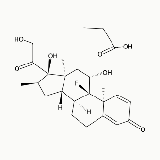 CCC(=O)O.C[C@@H]1C[C@H]2[C@@H]3CCC4=CC(=O)C=C[C@]4(C)[C@@]3(F)[C@@H](O)C[C@]2(C)[C@@]1(O)C(=O)CO